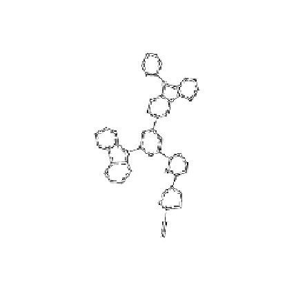 N#Cc1ccc(-c2cccc(-c3cc(-c4ccc5c(c4)c4ccccc4n5-c4ccccc4)cc(-n4c5ccccc5c5ccccc54)c3)n2)cc1